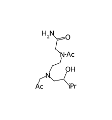 CC(=O)CN(CCN(CC(N)=O)C(C)=O)CC(O)C(C)C